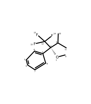 CO[C@@](c1ccccc1)(C(C)C)C(F)(F)F